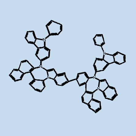 c1ccc(-n2c3ccccc3c3cc(N4c5ccc6ccccc6c5-c5ccccc5-n5c4cc4cc(-c6ccc7c(c6)-c6ccc8ccccc8c6-n6c(cc8ccccc86)N7c6ccc7c(c6)c6ccccc6n7-c6ccccc6)ccc45)ccc32)cc1